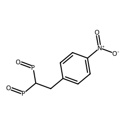 O=PC(Cc1ccc([N+](=O)[O-])cc1)P=O